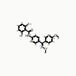 CO/N=C(/c1ccc(NC(=O)c2c(F)cccc2F)nc1)c1ccc(OC)nc1